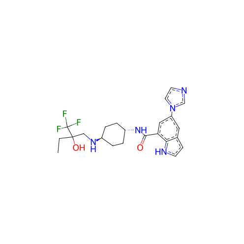 CCC(O)(CN[C@H]1CC[C@H](NC(=O)c2cc(-n3ccnc3)cc3cc[nH]c23)CC1)C(F)(F)F